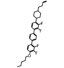 C=CCCC1CCC(c2ccc(-c3ccc(-c4ccc(OCCCCC)c(F)c4F)cc3)c(F)c2F)CC1